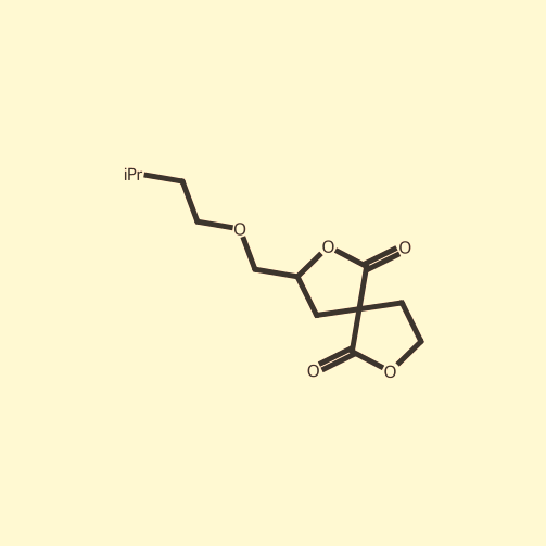 CC(C)CCOCC1CC2(CCOC2=O)C(=O)O1